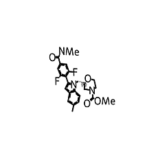 CNC(=O)c1cc(F)c(-c2cc3cc(C)ccc3n2C[C@H]2CN(C(=O)OC)CCO2)c(F)c1